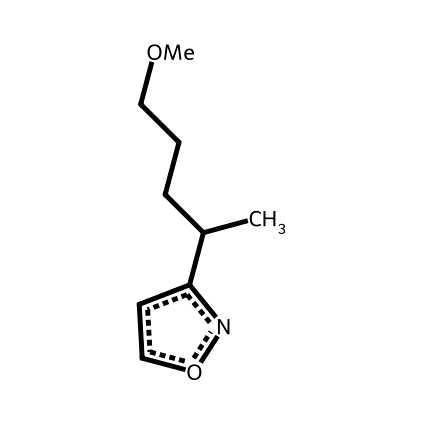 [CH2]OCCCC(C)c1ccon1